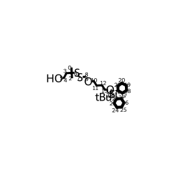 CC(C)(CCO)SSCOCCCCO[Si](c1ccccc1)(c1ccccc1)C(C)(C)C